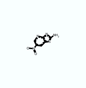 Nc1nc2ncc([N+](=O)[O-])cc2s1